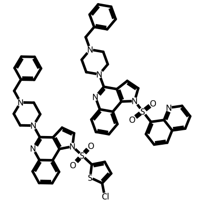 O=S(=O)(c1ccc(Cl)s1)n1ccc2c(N3CCN(Cc4ccccc4)CC3)nc3ccccc3c21.O=S(=O)(c1cccc2cccnc12)n1ccc2c(N3CCN(Cc4ccccc4)CC3)nc3ccccc3c21